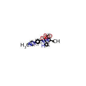 C#CC1CN(C(C=O)(NC(=O)c2ccc(N3CCN(C)CC3)cc2)C2CCCC2)C2C(=O)COC12